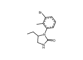 CCC1CNC(=O)N1c1cccc(Br)c1C